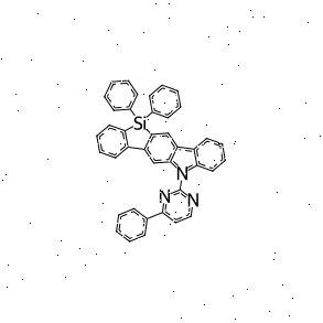 c1ccc(-c2ccnc(-n3c4ccccc4c4cc5c(cc43)-c3ccccc3[Si]5(c3ccccc3)c3ccccc3)n2)cc1